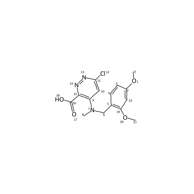 COc1ccc(CN(C)c2cc(Cl)nnc2C(=O)O)c(OC)c1